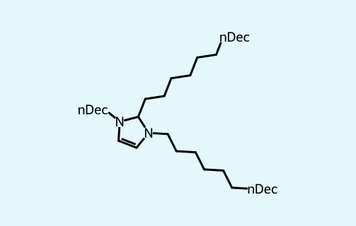 CCCCCCCCCCCCCCCCC1N(CCCCCCCCCC)C=CN1CCCCCCCCCCCCCCCC